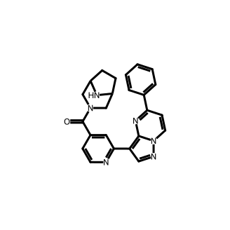 O=C(c1ccnc(-c2cnn3ccc(-c4ccccc4)nc23)c1)N1CC2CCC(C1)N2